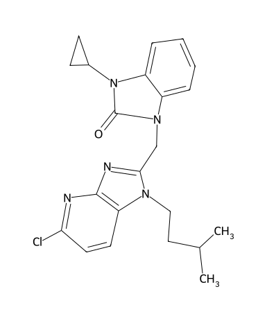 CC(C)CCn1c(Cn2c(=O)n(C3CC3)c3ccccc32)nc2nc(Cl)ccc21